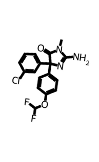 CN1C(=O)C(c2ccc(OC(F)F)cc2)(c2cccc(Cl)c2)N=C1N